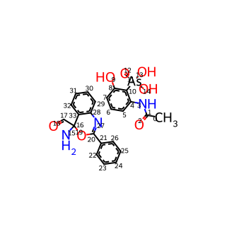 CC(=O)Nc1cccc(O)c1[As](=O)(O)O.NC1(C=O)OC(c2ccccc2)=Nc2ccccc21